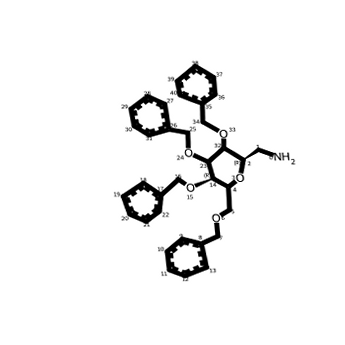 NC[C@H]1OC(COCc2ccccc2)[C@@H](OCc2ccccc2)C(OCc2ccccc2)C1OCc1ccccc1